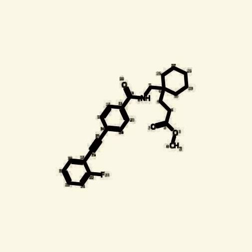 COC(=O)CCC1(CNC(=O)c2ccc(C#Cc3ccccc3F)cc2)CCCCC1